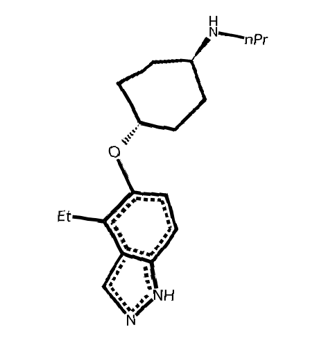 CCCN[C@H]1CC[C@H](Oc2ccc3[nH]ncc3c2CC)CC1